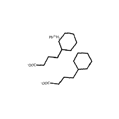 O=C([O-])CCCC1CCCCC1.O=C([O-])CCCC1CCCCC1.[PbH2+2]